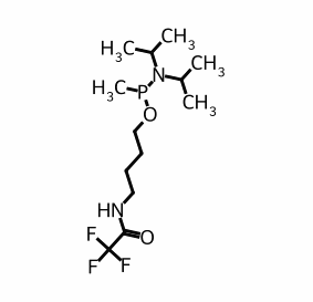 CC(C)N(C(C)C)P(C)OCCCCNC(=O)C(F)(F)F